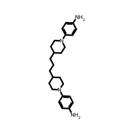 Nc1ccc(N2CCC(CCCC3CCN(c4ccc(N)cc4)CC3)CC2)cc1